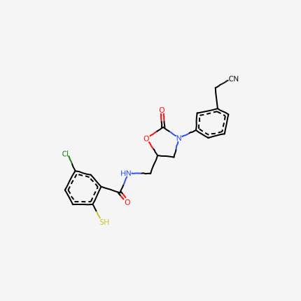 N#CCc1cccc(N2CC(CNC(=O)c3cc(Cl)ccc3S)OC2=O)c1